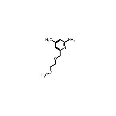 COCCOCc1cc(C)cc(N)n1